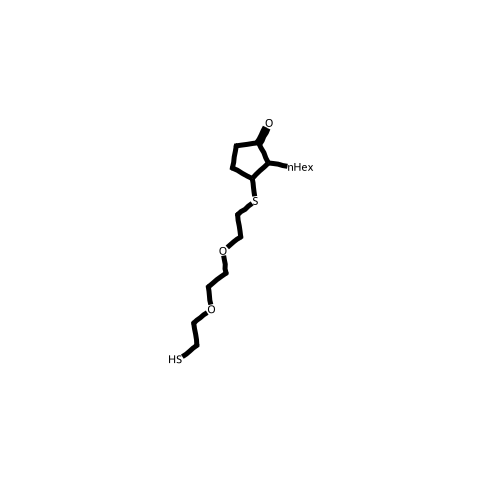 CCCCCCC1C(=O)CCC1SCCOCCOCCS